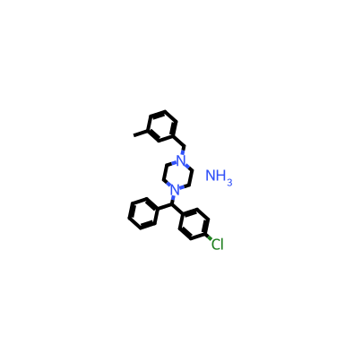 Cc1cccc(CN2CCN(C(c3ccccc3)c3ccc(Cl)cc3)CC2)c1.N